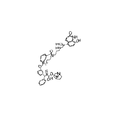 CCN(CCCNC[C@@H](O)c1ccc(O)c2[nH]c(=O)ccc12)C(=O)c1cccc(COc2cccc(C(NC(=O)O[C@H]3CN4CCC3CC4)c3ccccc3)c2)c1